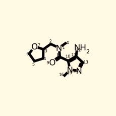 CN(CC1CCCO1)C(=O)c1c(N)cnn1C